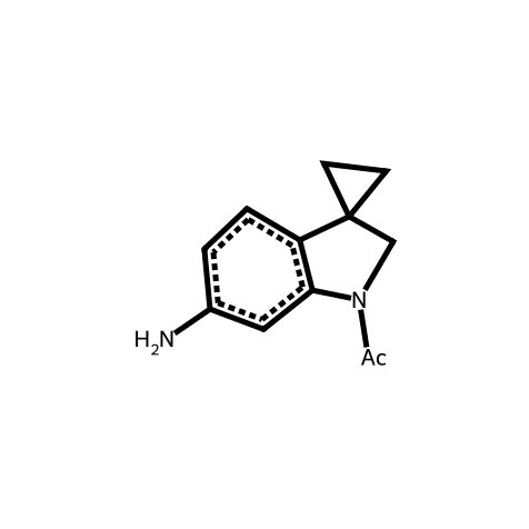 CC(=O)N1CC2(CC2)c2ccc(N)cc21